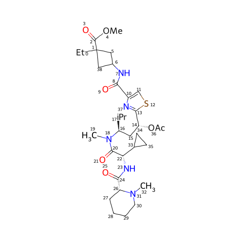 CCC1(C(=O)OC)CC(NC(=O)c2csc([C@@H](C[C@H](C(C)C)N(C)C(=O)[C@@H](NC(=O)[C@H]3CCCCN3C)C3CC3)OC(C)=O)n2)C1